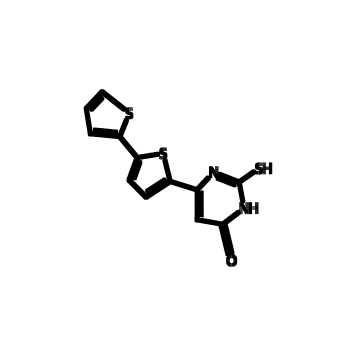 O=c1cc(-c2ccc(-c3cccs3)s2)nc(S)[nH]1